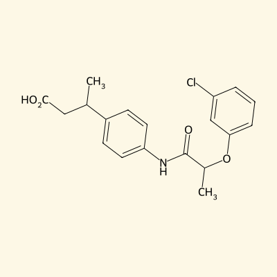 CC(Oc1cccc(Cl)c1)C(=O)Nc1ccc(C(C)CC(=O)O)cc1